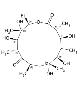 CC[C@H]1OC(=O)[C@H](C)[C@@H](O)C(C)[C@@H](O)[C@](C)(O)C[C@@H](C)C(=O)[C@H](C)[C@@H](O)[C@]1(C)O